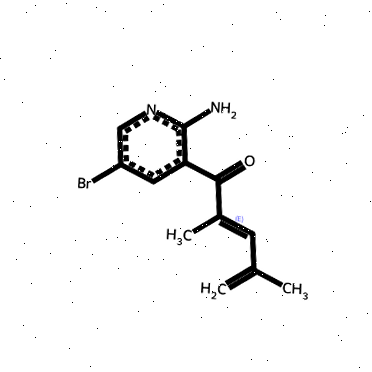 C=C(C)/C=C(\C)C(=O)c1cc(Br)cnc1N